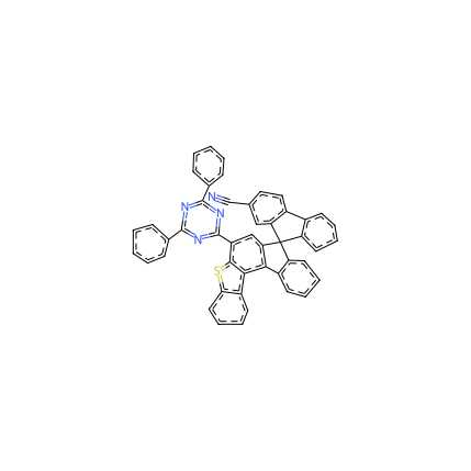 N#Cc1ccc2c(c1)C1(c3ccccc3-2)c2ccccc2-c2c1cc(-c1nc(-c3ccccc3)nc(-c3ccccc3)n1)c1sc3ccccc3c21